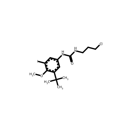 COc1c(I)cc(NC(=O)NCCCCl)cc1C(C)(C)C